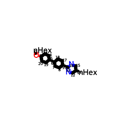 CCCCCCOc1ccc(-c2ccc(-c3ncc(CCCCCC)cn3)cc2)cc1